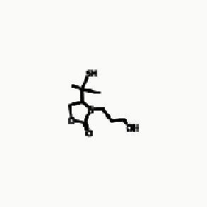 CC(C)(S)C1COC(=O)N1CCCO